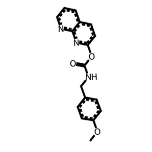 COc1ccc(CNC(=O)Oc2ccc3cccnc3n2)cc1